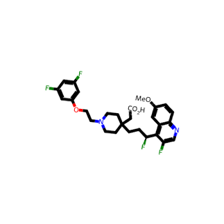 COc1ccc2ncc(F)c([C@@H](F)CCC3(CC(=O)O)CCN(CCOc4cc(F)cc(F)c4)CC3)c2c1